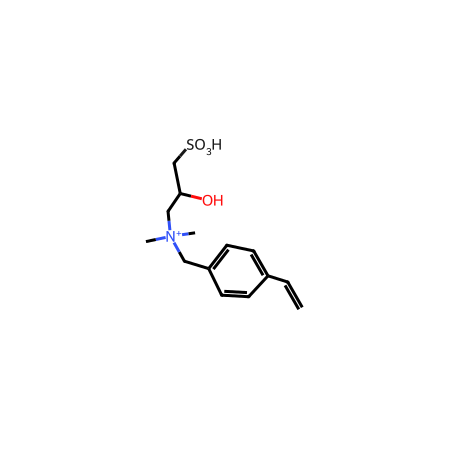 C=Cc1ccc(C[N+](C)(C)CC(O)CS(=O)(=O)O)cc1